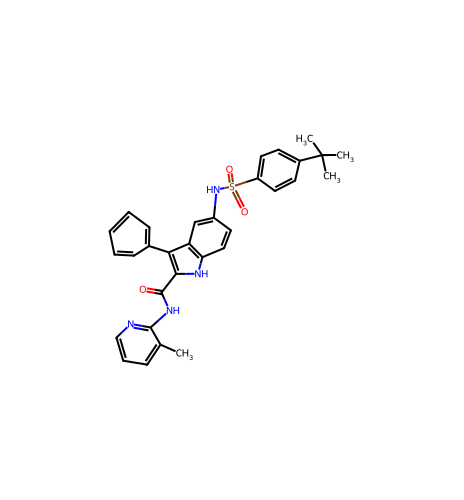 Cc1cccnc1NC(=O)c1[nH]c2ccc(NS(=O)(=O)c3ccc(C(C)(C)C)cc3)cc2c1-c1ccccc1